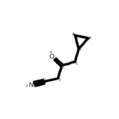 N#CCC(=O)CC1CC1